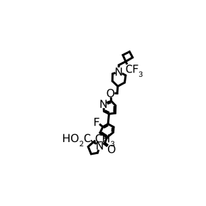 C[C@@]1(C(=O)O)CCCN1C(=O)c1ccc(-c2ccc(OCC3CCN(CC4(C(F)(F)F)CCC4)CC3)nc2)c(F)c1